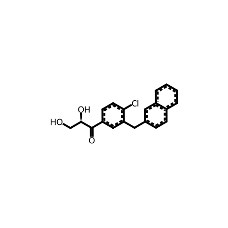 O=C(c1ccc(Cl)c(Cc2ccc3ccccc3c2)c1)[C@H](O)CO